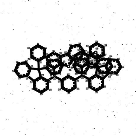 c1ccc(C2(c3ccccc3)c3ccccc3-c3cccc(N(c4cccc(N(c5cccc6c5C(c5ccccc5)(c5ccccc5)c5ccccc5-6)c5cccc6oc7ccccc7c56)c4)c4cccc5c4oc4ccccc45)c32)cc1